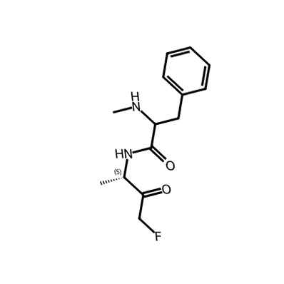 CNC(Cc1ccccc1)C(=O)N[C@@H](C)C(=O)CF